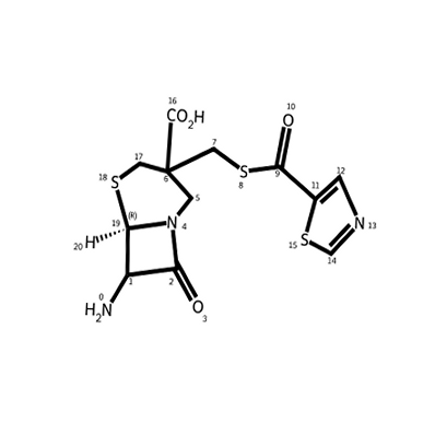 NC1C(=O)N2CC(CSC(=O)c3cncs3)(C(=O)O)CS[C@H]12